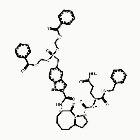 NC(=O)CCC(NC(=O)[C@@H]1CCC2CCCC[C@H](NC(=O)c3cc4cc(CP(=O)(OCOC(=O)c5ccccc5)OCOC(=O)c5ccccc5)ccc4[nH]3)C(=O)N21)C(=O)NCc1ccccc1